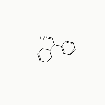 C=CC(c1ccccc1)N1CC=CCC1